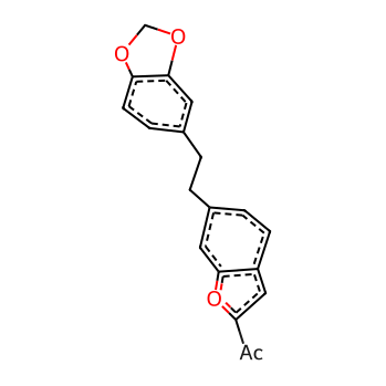 CC(=O)c1cc2ccc(CCc3ccc4c(c3)OCO4)cc2o1